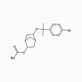 CCC(C)C(=O)OC1CC2CC1CC2OC(C)(C)c1ccc(Br)cc1